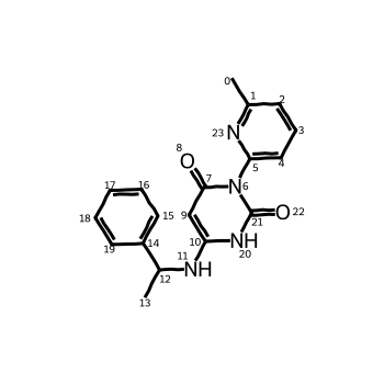 Cc1cccc(-n2c(=O)cc(NC(C)c3ccccc3)[nH]c2=O)n1